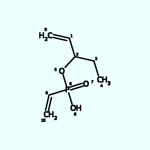 C=CC(CC)OP(=O)(O)C=C